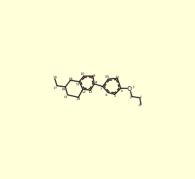 CCCOc1ccc(-c2ccc3c(c2)CCC(CC)C3)cc1